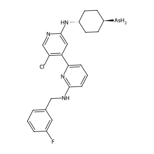 Fc1cccc(CNc2cccc(-c3cc(N[C@H]4CC[C@H]([AsH2])CC4)ncc3Cl)n2)c1